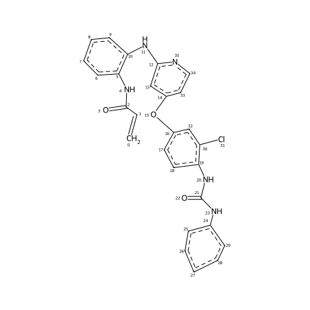 C=CC(=O)Nc1ccccc1Nc1cc(Oc2ccc(NC(=O)Nc3ccccc3)c(Cl)c2)ccn1